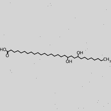 CCCCCCCCC(O)CCC(O)CCCCCCCCCCCCCCCCCC(=O)O